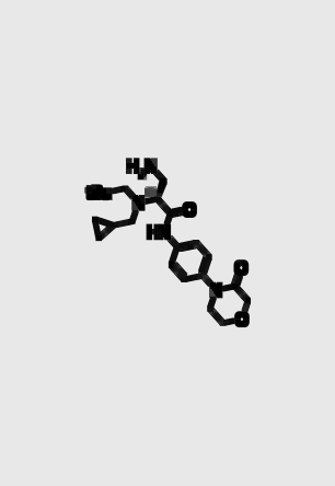 CC(C)(C)CN(CC1CC1)[C@@H](CN)C(=O)Nc1ccc(N2CCOCC2=O)cc1